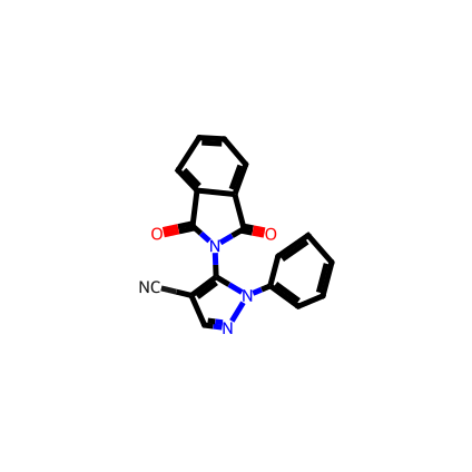 N#Cc1cnn(-c2ccccc2)c1N1C(=O)c2ccccc2C1=O